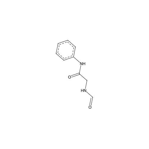 O=CNCC(=O)Nc1ccccc1